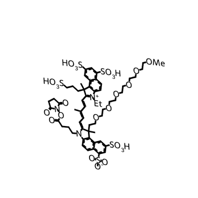 CC[N+]1=C(/C=C/C(C)=C/C=C2/N(CCCC(=O)ON3C(=O)CCC3=O)c3ccc4c(S(=O)(=O)[O-])cc(S(=O)(=O)O)cc4c3C2(C)CCOCCOCCOCCOCCOCCOC)C(C)(CCCS(=O)(=O)O)c2c1ccc1c(S(=O)(=O)O)cc(S(=O)(=O)O)cc21